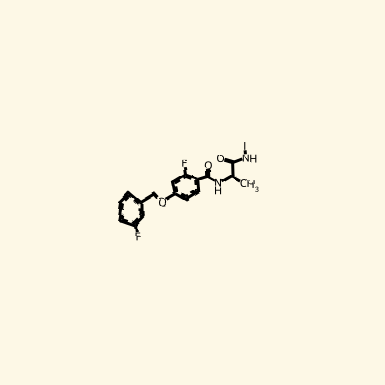 CC(NC(=O)c1ccc(OCc2cccc(F)c2)cc1F)C(=O)NI